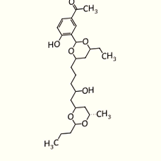 CCCC1OC(CC(O)CCCC2CC(CC)OC(c3cc(C(C)=O)ccc3O)O2)C[C@H](C)O1